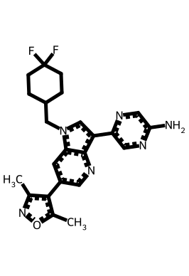 Cc1noc(C)c1-c1cnc2c(-c3cnc(N)cn3)cn(CC3CCC(F)(F)CC3)c2c1